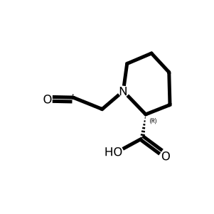 O=[C]CN1CCCC[C@@H]1C(=O)O